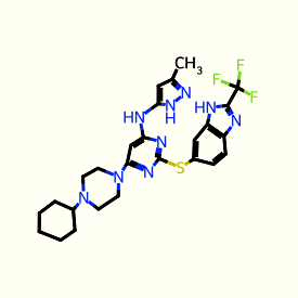 Cc1cc(Nc2cc(N3CCN(C4CCCCC4)CC3)nc(Sc3ccc4nc(C(F)(F)F)[nH]c4c3)n2)[nH]n1